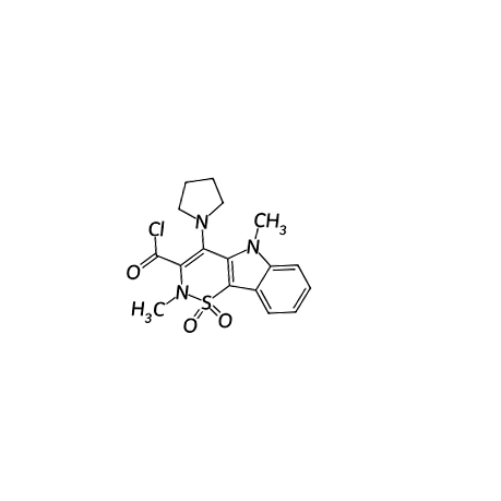 CN1C(C(=O)Cl)=C(N2CCCC2)c2c(c3ccccc3n2C)S1(=O)=O